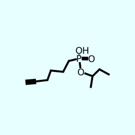 C#CCCCCP(=O)(O)OC(C)CC